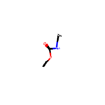 CCOC(=O)[NH][Zn]